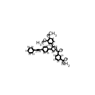 COc1ccc(C2=NN(C(=O)c3cccc(C(N)=O)c3)CC2c2ccc(C#Cc3ccccc3)cc2)cc1OC